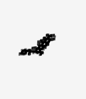 CN(C)c1cc(CNC(=O)Oc2ccc(F)cc2)c(O)c2c1C[C@H]1C[C@H]3CC(O)C(C(N)=O)C(=O)[C@@]3(O)C(O)=C1C2=O